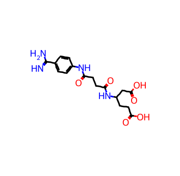 N=C(N)c1ccc(NC(=O)CCC(=O)NC(CCC(=O)O)CC(=O)O)cc1